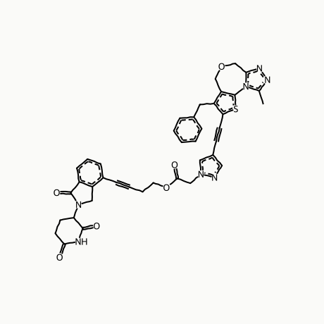 Cc1nnc2n1-c1sc(C#Cc3cnn(CC(=O)OCCC#Cc4cccc5c4CN(C4CCC(=O)NC4=O)C5=O)c3)c(Cc3ccccc3)c1COC2